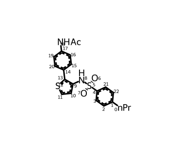 CCCc1ccc(S(=O)(=O)Nc2ccsc2-c2ccc(NC(C)=O)cc2)cc1